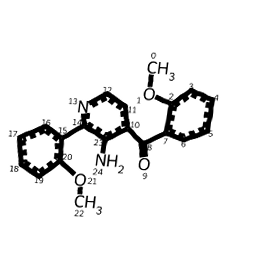 COc1ccccc1C(=O)c1ccnc(-c2ccccc2OC)c1N